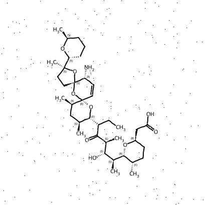 CCC(C(=O)[C@@H](C)[C@@H](O)[C@H](C)[C@@H]1O[C@@H](CC(=O)O)CC[C@@H]1C)[C@H]1O[C@]2(C=C[C@@H](N)[C@]3(CC[C@@](C)([C@H]4CCC[C@H](C)O4)O3)O2)[C@H](C)C[C@@H]1C